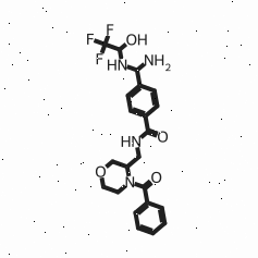 NC(NC(O)C(F)(F)F)c1ccc(C(=O)NCC2COCCN2C(=O)c2ccccc2)cc1